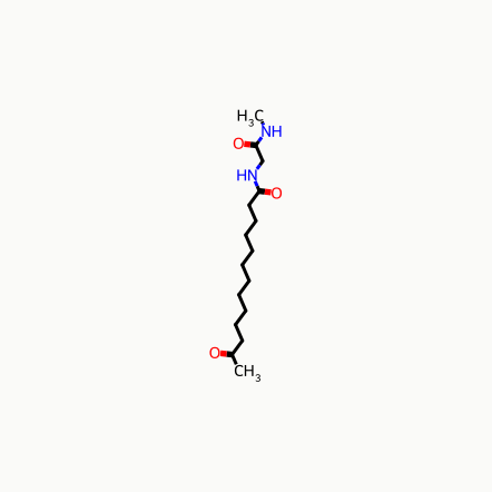 CNC(=O)CNC(=O)CCCCCCCCCCC(C)=O